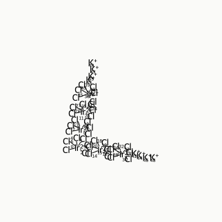 [Cl][Ir-2]([Cl])([Cl])([Cl])([Cl])[Cl].[Cl][Ir-2]([Cl])([Cl])([Cl])([Cl])[Cl].[Cl][Ir-2]([Cl])([Cl])([Cl])([Cl])[Cl].[Cl][Ir-2]([Cl])([Cl])([Cl])([Cl])[Cl].[Cl][Ir-2]([Cl])([Cl])([Cl])([Cl])[Cl].[Cl][Ir-2]([Cl])([Cl])([Cl])([Cl])[Cl].[K+].[K+].[K+].[K+].[K+].[K+].[K+].[K+]